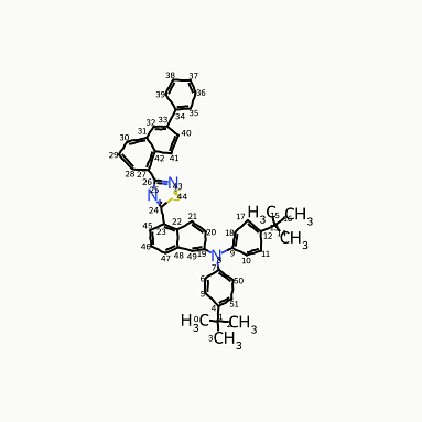 CC(C)(C)c1ccc(N(c2ccc(C(C)(C)C)cc2)c2ccc3c(-c4nc(-c5cccc6cc(-c7ccccc7)ccc56)ns4)cccc3c2)cc1